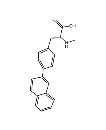 CN[C@H](Cc1ccc(-c2ccc3ccccc3c2)cc1)C(=O)O